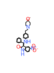 COC1CCN(CCc2ccc(NC(=C3C(=O)Nc4ccc([N+](=O)[O-])cc43)c3ccccc3)cc2)CC1